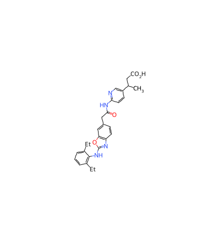 CCc1cccc(CC)c1Nc1nc2ccc(CC(=O)Nc3ccc(C(C)CC(=O)O)cn3)cc2o1